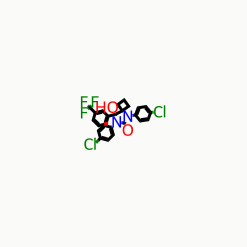 O=C1N(c2ccc(Cl)cc2)C2(CCC2)C(O)(c2cccc(C(F)(F)F)c2)N1c1ccc(Cl)cc1